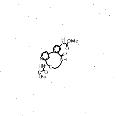 COC(=O)Nc1ccc2c(c1)C(=O)NCCCC[C@H](NC(=O)OC(C)(C)C)c1cc-2ccn1